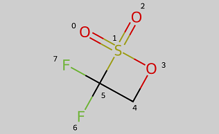 O=S1(=O)OCC1(F)F